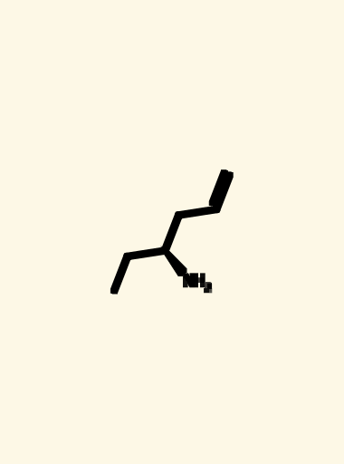 C=CC[C@@H](N)CC